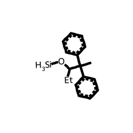 CCC(O[SiH3])C(C)(c1ccccc1)c1ccccc1